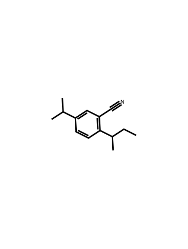 CCC(C)c1ccc(C(C)C)cc1C#N